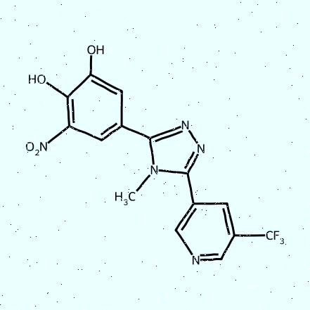 Cn1c(-c2cncc(C(F)(F)F)c2)nnc1-c1cc(O)c(O)c([N+](=O)[O-])c1